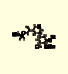 C=C(CO[Si](C)(C)C(C)(C)C)c1cncc(-c2cc(Cl)c(OC)c(OCC)c2)c1